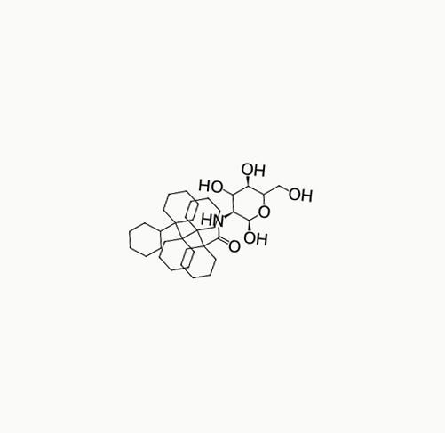 O=C(N[C@H]1C(O)[C@@H](O)C(CO)O[C@H]1O)C1(C2(C3(C4(C5CCCCC5)CCCCC4)CCCCC3)CCCCC2)CCCCC1